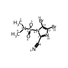 CN(C)S(=O)(=O)n1c(C#N)nc(Br)c1Br